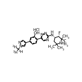 Cl.[2H]C([2H])([2H])n1cc(-c2ccc(-c3cnc(N[C@H]4CC(C)(C)NC(C)(C)[C@H]4F)nn3)c(O)c2)cn1